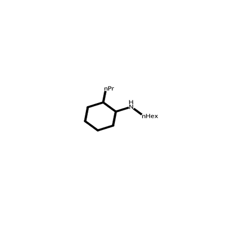 CCCCCCNC1CCCCC1CCC